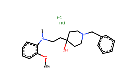 CCCCOc1ccccc1N(C)CCC1(O)CCN(Cc2ccccc2)CC1.Cl.Cl